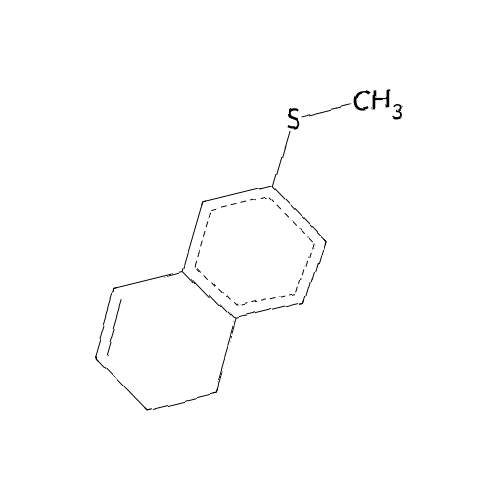 CSc1ccc2c(c1)C=CCC2